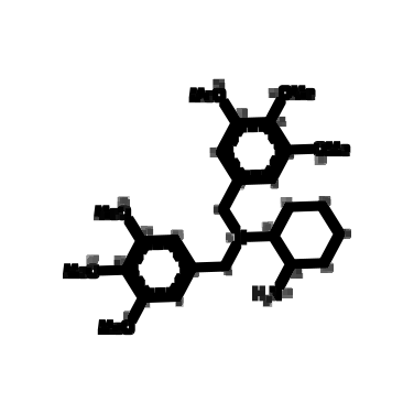 COc1cc(CN(Cc2cc(OC)c(OC)c(OC)c2)C2CCCCC2N)cc(OC)c1OC